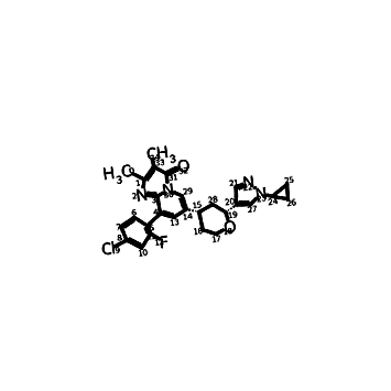 Cc1nc2c(-c3ccc(Cl)cc3F)cc([C@H]3CCO[C@@H](c4cnn(C5CC5)c4)C3)cn2c(=O)c1C